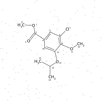 COC(=O)c1cc(Cl)c(OC)c(OC(C)C)c1